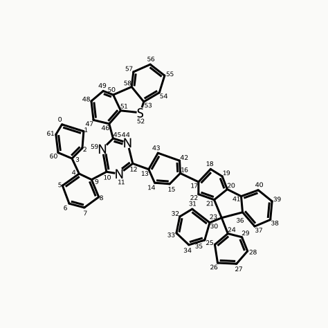 c1ccc(-c2ccccc2-c2nc(-c3ccc(-c4ccc5c(c4)C(c4ccccc4)(c4ccccc4)c4ccccc4-5)cc3)nc(-c3cccc4c3sc3ccccc34)n2)cc1